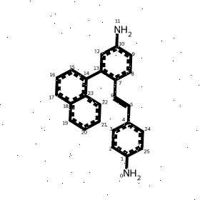 Nc1ccc(C=Cc2ccc(N)cc2-c2cccc3ccccc23)cc1